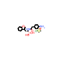 CS(C)(=O)(Cl)c1cc(CC(=O)N[C@@H](Cc2coc3ccccc23)B(O)O)ccc1N